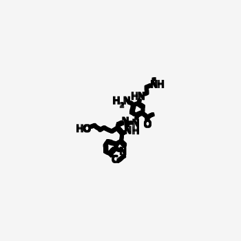 CNCCNc1cc(C(C)=O)c(Nc2ncc(CCCCO)c(-c3cn4c5c(cccc35)CCC4)n2)cc1N